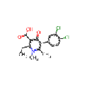 CCc1c(C(=O)O)c(=O)c(-c2ccc(Cl)c(Cl)c2)c(C)n1C